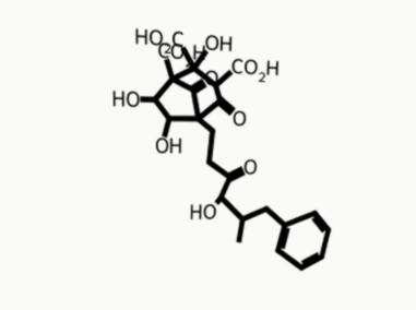 CC(Cc1ccccc1)C(O)C(=O)CCC12C(=O)C(C(=O)O)C(O)(C(=O)O)C(C(=O)O)(C1=O)C(O)C2O